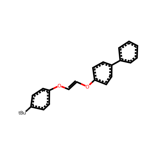 CC(C)(C)c1ccc(OC=COc2ccc(-c3ccccc3)cc2)cc1